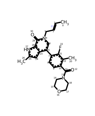 C/C=C/Cn1cc(-c2ccc(C(=O)N3CCOCC3)c(C)c2F)c2cc(C)[nH]c2c1=O